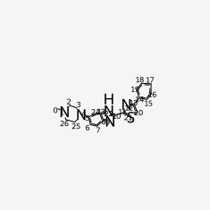 CN1CCN(c2ccc3nc(-c4nc(-c5ccccc5)cs4)[nH]c3c2)CC1